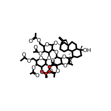 C=C1C[C@@]23CCC4[C@@](C)(CCC[C@@]4(C)O)C2CC[C@]1(OC1OC(COC(C)=O)C(OC(C)=O)C(OC2OC(COC(C)=O)C(OC(C)=O)C(OC(C)=O)C2OC(C)=O)C1OC1OC(COC(C)=O)C(OC(C)=O)C(OC(C)=O)C1OC(C)=O)C3